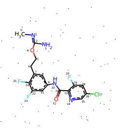 C/N=C(/N)OCCc1cc(NC(=O)c2ncc(Cl)cc2F)cc(F)c1F